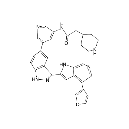 O=C(CC1CCNCC1)Nc1cncc(-c2ccc3[nH]nc(-c4cc5c(-c6ccoc6)cncc5[nH]4)c3c2)c1